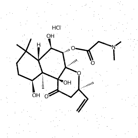 C=C[C@@]1(C)CC(=O)[C@]2(O)[C@@]3(C)[C@@H](O)CCC(C)(C)[C@@H]3[C@@H](O)[C@H](OC(=O)CN(C)C)[C@@]2(C)O1.Cl